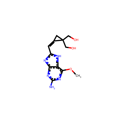 COc1nc(N)nc2nc(C=C3CC3(CO)CO)[nH]c12